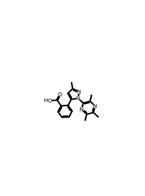 Cc1cc(-c2ccccc2C(=O)O)n(-c2nc(C)c(C)nc2C)n1